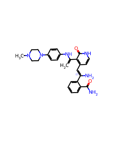 C=C(Nc1ccc(N2CCN(C)CC2)cc1)c1c(/C=C(\N)c2ccccc2C(N)=O)cc[nH]c1=O